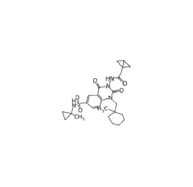 CC1(Cn2c(=O)n(NC(=O)C34CC3C4)c(=O)c3cc(S(=O)(=O)NC4(C)CC4)ccc32)CCCCC1